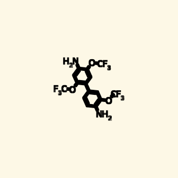 Nc1ccc(-c2cc(OC(F)(F)F)c(N)cc2OC(F)(F)F)cc1OC(F)(F)F